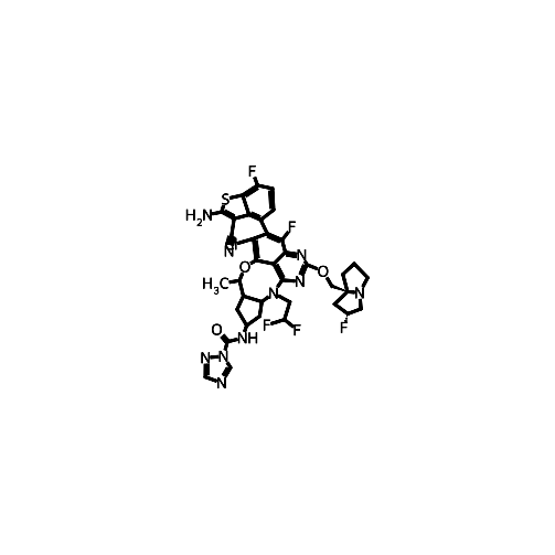 CC1Oc2c(Cl)c(-c3ccc(F)c4sc(N)c(C#N)c34)c(F)c3nc(OC[C@@]45CCCN4C[C@H](F)C5)nc(c23)N(CC(F)F)C2CC(NC(=O)n3cncn3)CC12